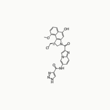 COc1cccc2c(O)cc3c(c12)[C@H](CCl)CN3C(=O)c1cn2cc(NC(=O)c3c[nH]nn3)ccc2n1